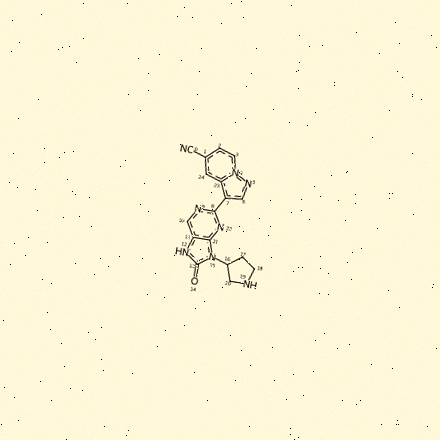 N#Cc1ccn2ncc(-c3ncc4[nH]c(=O)n(C5CCNC5)c4n3)c2c1